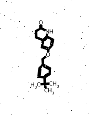 CC(C)(C)c1ccc(COc2ccc3c(c2)CCC(=O)N3)cc1